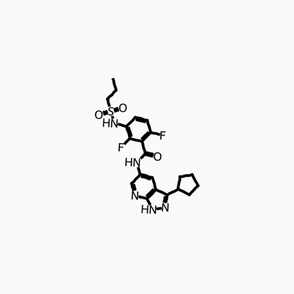 CCCS(=O)(=O)Nc1ccc(F)c(C(=O)Nc2cnc3[nH]nc(C4CCCC4)c3c2)c1F